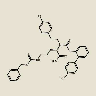 Cc1ccc(-c2ccccc2CC(=O)N(CCc2ccc(O)cc2)[C@H](CCCNC(=O)OCc2ccccc2)C(N)=O)cc1